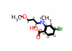 COCCCN(C)c1cc(Br)ccc1C(=O)O